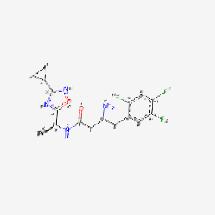 CC(C)[C@H](NC(=O)CC(N)Cc1cc(F)c(F)cc1F)c1nc(C2CC2)no1